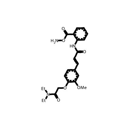 CCN(CC)C(=O)COc1ccc(/C=C/C(=O)Nc2ccccc2C(=O)ON)cc1OC